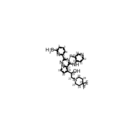 Bc1cccc(-c2nc(Nc3ccncc3F)c3c(C(O)CN4CCC(F)(F)CC4)ccn3n2)n1